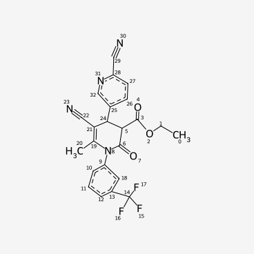 CCOC(=O)C1C(=O)N(c2cccc(C(F)(F)F)c2)C(C)=C(C#N)C1c1ccc(C#N)nc1